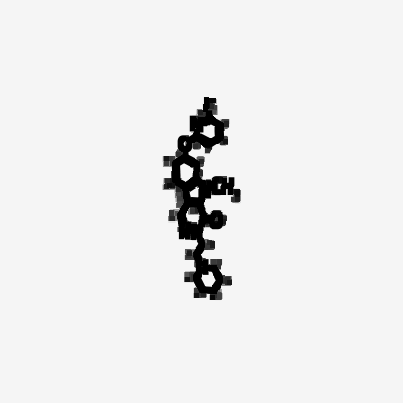 Cn1c2cc(Oc3cccc(F)n3)ccc2c2cnn(CCN3CCCCC3)c(=O)c21